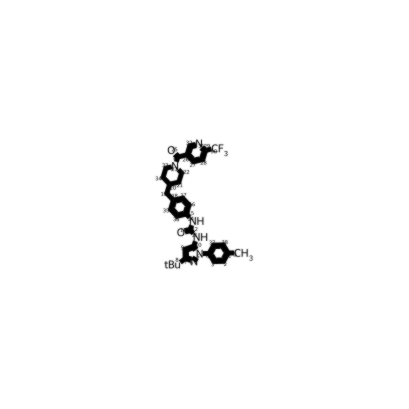 Cc1ccc(-n2nc(C(C)(C)C)cc2NC(=O)Nc2ccc(CC3CCN(C(=O)c4ccc(C(F)(F)F)nc4)CC3)cc2)cc1